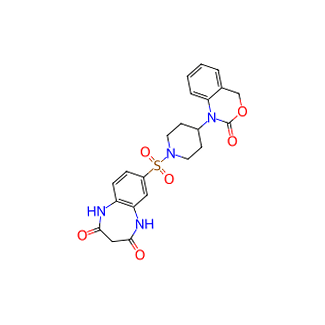 O=C1CC(=O)Nc2cc(S(=O)(=O)N3CCC(N4C(=O)OCc5ccccc54)CC3)ccc2N1